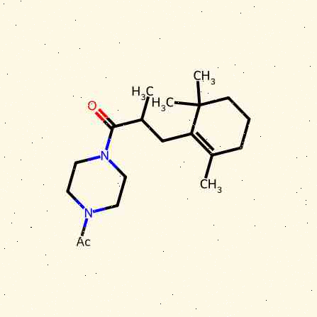 CC(=O)N1CCN(C(=O)C(C)CC2=C(C)CCCC2(C)C)CC1